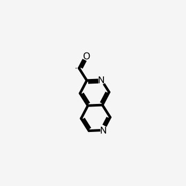 O=[C]c1cc2ccncc2cn1